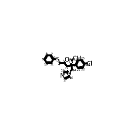 CN1OC(CSc2ccccc2)CC1(Cn1ccnc1)c1ccc(Cl)cc1